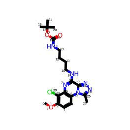 COc1ccc2c(nc(NCCCCNC(=O)OC(C)(C)C)c3nnc(C)n32)c1Cl